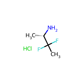 C[C@H](N)C(C)(F)F.Cl